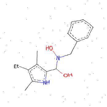 CCc1c(C)[nH]c(C(O)N(O)Cc2ccccc2)c1C